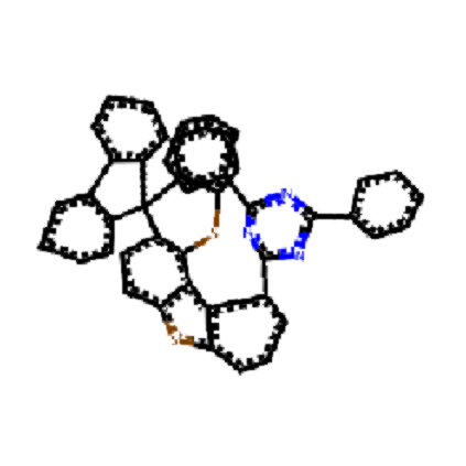 c1ccc(-c2nc(-c3ccccc3)nc(-c3cccc4sc5ccc6c(c5c34)Sc3ccccc3C63c4ccccc4-c4ccccc43)n2)cc1